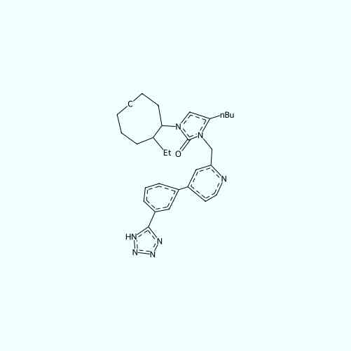 CCCCc1cn(C2CCCCCCC2CC)c(=O)n1Cc1cc(-c2cccc(-c3nnn[nH]3)c2)ccn1